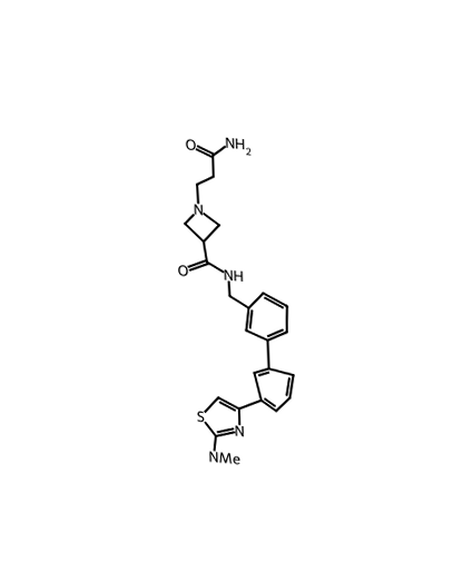 CNc1nc(-c2cccc(-c3cccc(CNC(=O)C4CN(CCC(N)=O)C4)c3)c2)cs1